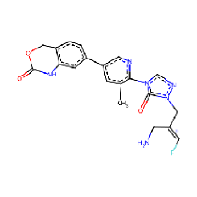 Cc1cc(-c2ccc3c(c2)NC(=O)OC3)cnc1-n1cnn(C/C(=C/F)CN)c1=O